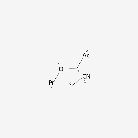 CC#N.CC(=O)COC(C)C